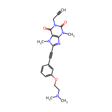 C#CCn1c(=O)c2c(nc(C#Cc3cccc(OCCN(C)C)c3)n2C)n(C)c1=O